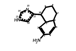 NC1=CC2C(C=C1)CCCC2c1c[nH]cn1